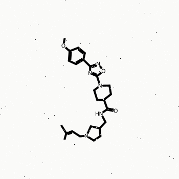 COc1ccc(-c2noc(N3CCC(C(=O)NCC4CCN(CC=C(C)C)C4)CC3)n2)cc1